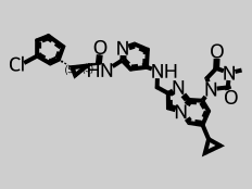 CN1C(=O)CN(c2cc(C3CC3)cn3cc(CNc4ccnc(NC(=O)[C@H]5C[C@@H]5c5cccc(Cl)c5)c4)nc23)C1=O